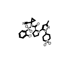 Cc1cc(N2CCC[C@H]2C(=O)N(C2(C#N)CC2)S(=O)(=O)c2ccccc2Cl)n(C2CCS(=O)(=O)CC2)n1